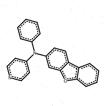 c1ccc(N(c2ccncc2)c2ccc3c(c2)oc2ccccc23)cc1